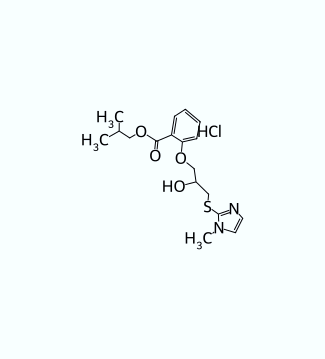 CC(C)COC(=O)c1ccccc1OCC(O)CSc1nccn1C.Cl